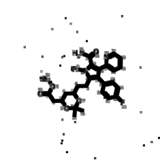 CC(C)n1c(CCC2CC(CC(=O)OC(C)(C)C)OC(C)(C)O2)c(-c2ccc(F)cc2)c(-c2ccccn2)c1C(N)=O